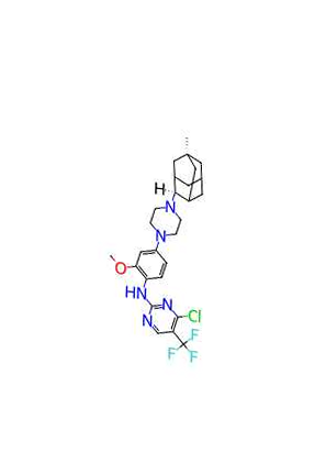 COc1cc(N2CCN([C@H]3C4CC5CC3C[C@](C)(C5)C4)CC2)ccc1Nc1ncc(C(F)(F)F)c(Cl)n1